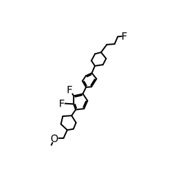 COCC1CCC(c2ccc(-c3ccc(C4CCC(CCCF)CC4)cc3)c(F)c2F)CC1